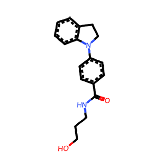 O=C(NCCCO)c1ccc(N2CCc3[c]cccc32)cc1